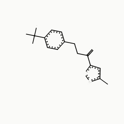 Cc1cc(C(=O)CCc2ccc(C(F)(F)F)cc2)on1